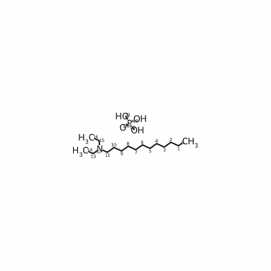 CCCCCCCCCCCCN(CC)CC.O=P(O)(O)O